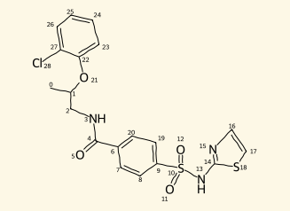 CC(CNC(=O)c1ccc(S(=O)(=O)Nc2nccs2)cc1)Oc1ccccc1Cl